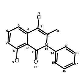 Cc1c(Cl)c2cccc(Cl)c2c(=O)n1-c1ccccc1